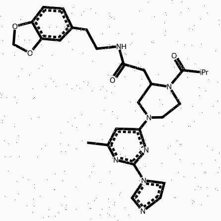 Cc1cc(N2CCN(C(=O)C(C)C)C(CC(=O)NCCc3ccc4c(c3)OCO4)C2)nc(-n2ccnc2)n1